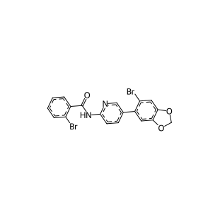 O=C(Nc1ccc(-c2cc3c(cc2Br)OCO3)cn1)c1ccccc1Br